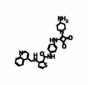 NC1CCN(c2c(Nc3ccc(NC(=O)c4sccc4NCc4ccnc5ccccc45)cc3)c(=O)c2=O)CC1